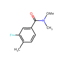 CON(C)C(=O)c1ccc(C)c(F)c1